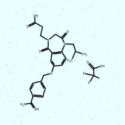 CC(C)CN1C(=O)CN(CCC(=O)O)C(=O)c2cc(OCc3ccc(C(=N)N)cc3)ccc21.O=C(O)C(F)(F)F